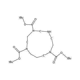 CC(C)(C)OC(=O)N1CCCN(C(=O)OC(C)(C)C)CCN(C(=O)OC(C)(C)C)CNCC1